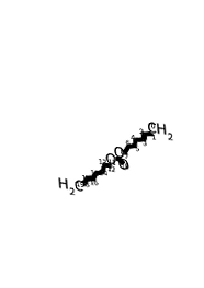 C=CC=CCCCCOC(=O)OCCCCC=CC=C